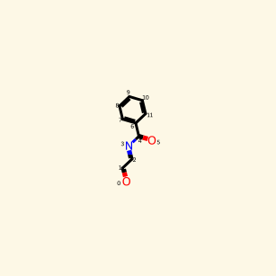 O=CC=NC(=O)c1ccccc1